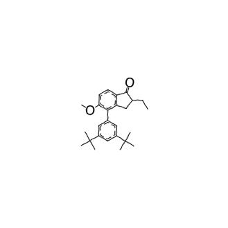 CCC1Cc2c(ccc(OC)c2-c2cc(C(C)(C)C)cc(C(C)(C)C)c2)C1=O